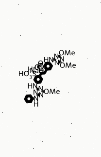 COc1nc(Nc2ccccc2)nc(Nc2ccc(C=Cc3ccc(Nc4nc(OC)nc(OC)n4)cc3S(=O)(=O)[O-])c(S(=O)(=O)O)c2)n1.[H+].[NaH]